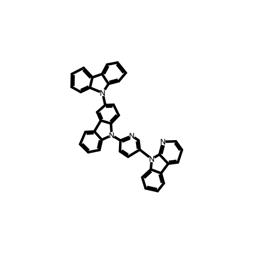 c1ccc2c(c1)c1ccccc1n2-c1ccc2c(c1)c1ccccc1n2-c1ccc(-n2c3ccccc3c3cccnc32)cn1